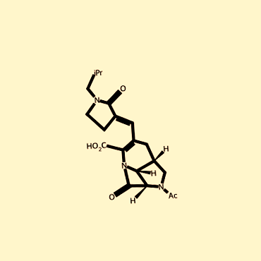 CC(=O)N1C[C@H]2CC(/C=C3\CCN(CC(C)C)C3=O)=C(C(=O)O)N3C(=O)[C@@H]1[C@@H]23